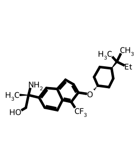 CCC(C)(C)[C@H]1CC[C@H](Oc2ccc3cc([C@@](C)(N)CO)ccc3c2C(F)(F)F)CC1